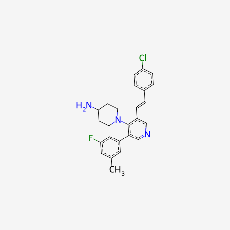 Cc1cc(F)cc(-c2cncc(C=Cc3ccc(Cl)cc3)c2N2CCC(N)CC2)c1